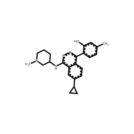 Cc1ccc(-c2nnc(NC3CCCN(C)C3)c3cc(C4CC4)ccc23)c(O)c1